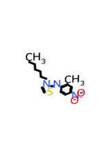 CCCCCCCn1ccsc1=Nc1ccc([N+](=O)[O-])cc1C